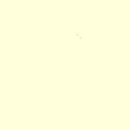 CCCCCCCC/C=C/c1cccc(C(O)C(N)CO)c1